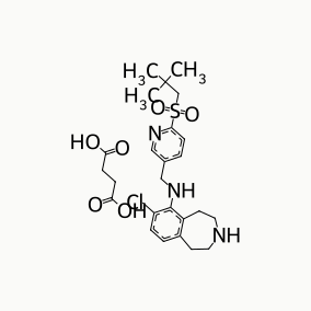 CC(C)(C)CS(=O)(=O)c1ccc(CNc2c(Cl)ccc3c2CCNCC3)cn1.O=C(O)CCC(=O)O